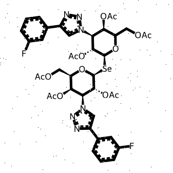 CC(=O)OCC1O[C@@H]([Se][C@@H]2O[C@H](COC(C)=O)[C@H](OC(C)=O)[C@H](n3cc(-c4cccc(F)c4)nn3)[C@H]2OC(C)=O)[C@H](OC(C)=O)[C@@H](n2cc(-c3cccc(F)c3)nn2)[C@H]1OC(C)=O